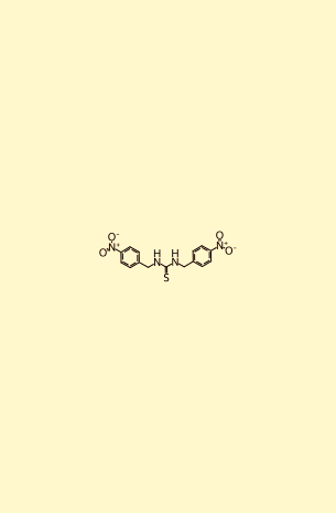 O=[N+]([O-])c1ccc(CNC(=S)NCc2ccc([N+](=O)[O-])cc2)cc1